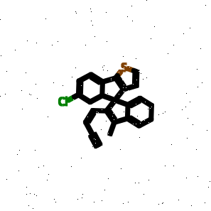 C#C/C=C\C1=C(C)C2=CCCC=C2C12c1ccsc1C1=CC=C(Cl)CC12